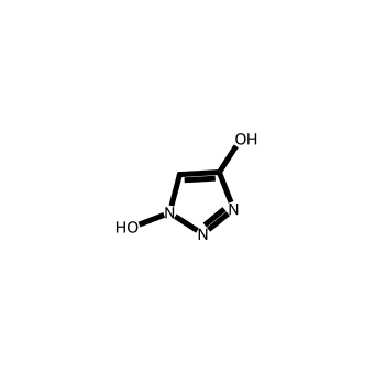 Oc1cn(O)nn1